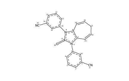 N#Cc1cccc(-n2c3c(n(-c4cccc(C#N)c4)c2=O)C=CCC=C3)c1